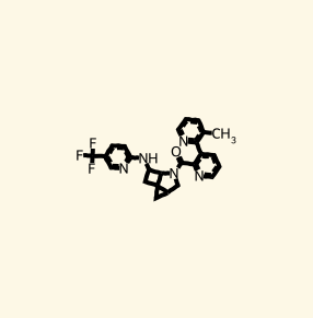 Cc1cccnc1-c1cccnc1C(=O)N1CC2CC23CC(Nc2ccc(C(F)(F)F)cn2)C13